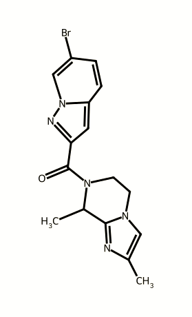 Cc1cn2c(n1)C(C)N(C(=O)c1cc3ccc(Br)cn3n1)CC2